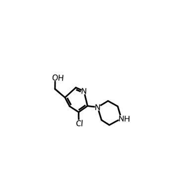 OCc1cnc(N2CCNCC2)c(Cl)c1